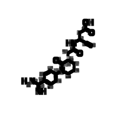 C#CC(CC(=O)O)NC(=O)C[C@@H]1CCCN(c2ccc(C(=N)N)cc2)C1=O